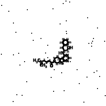 CN(C)C/C=C/C(=O)N1CCc2c(sc3ncnc(N[C@H](CO)Cc4ccccc4)c23)C1